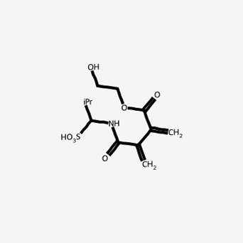 C=C(C(=C)C(=O)OCCO)C(=O)NC(C(C)C)S(=O)(=O)O